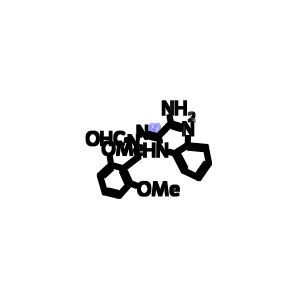 COc1cccc(OC)c1CN(C=O)/N=c1\[nH]c2ccccc2nc1N